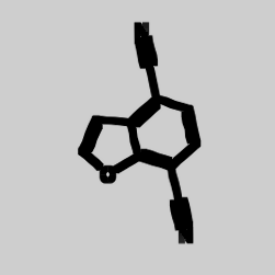 N#Cc1ccc(C#N)c2occc12